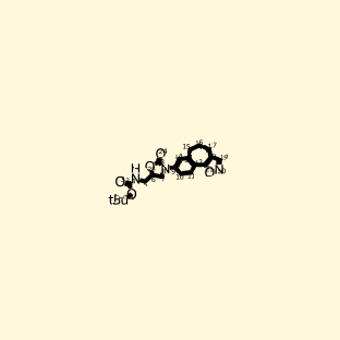 CC(C)(C)OC(=O)NCC1CN(c2ccc3c(c2)CCCc2cnoc2-3)C(=O)O1